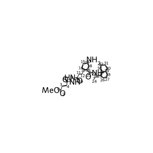 COC(=O)/C=C/C(=O)NNC(=O)CCc1ccc(N)cc1C(=O)N[C@H](C)c1cccc2ccccc12